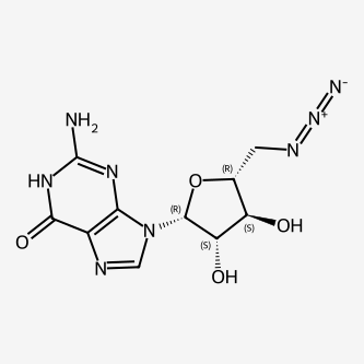 [N-]=[N+]=NC[C@H]1O[C@@H](n2cnc3c(=O)[nH]c(N)nc32)[C@@H](O)[C@@H]1O